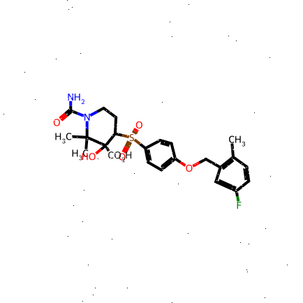 Cc1ccc(F)cc1COc1ccc(S(=O)(=O)C2CCN(C(N)=O)C(C)(C)C2(O)C(=O)O)cc1